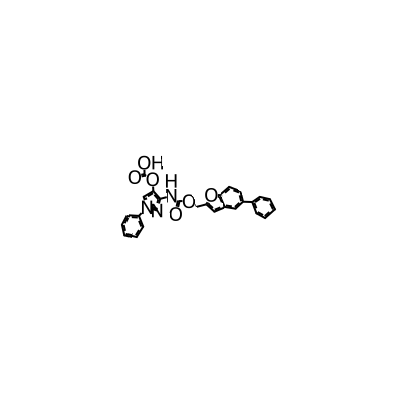 O=C(O)Oc1cn(-c2ccccc2)nc1NC(=O)OCc1cc2cc(-c3ccccc3)ccc2o1